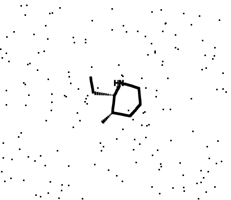 CC[C@@H]1NCCC[C@@H]1C